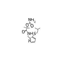 CC(C)CSc1cccnc1CNC(=O)C(C)(C)OC(N)=O